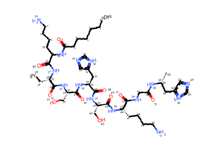 CCCCCCCCCCCCCCCC(=O)NC(CCCCN)C(=O)N[C@@H](CC(C)C)C(=O)N[C@@H](CO)C(=O)N[C@@H](Cc1cnc[nH]1)C(=O)N[C@@H](CO)C(=O)N[C@@H](CCCCN)C(=O)NCC(=O)N[C@H](C)Cc1cnc[nH]1